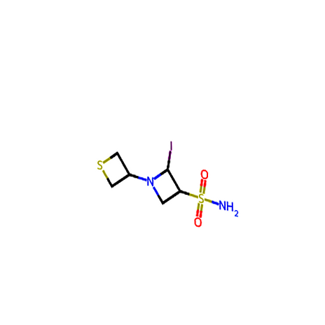 NS(=O)(=O)C1CN(C2CSC2)C1I